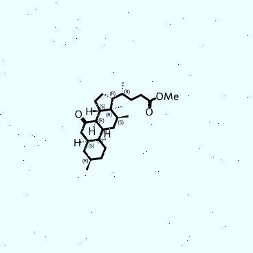 COC(=O)CC[C@@H](C)[C@H]1CC[C@H]2[C@@H]3C(=O)C[C@@H]4C[C@H](C)CC[C@]4(C)[C@H]3C[C@H](C)[C@]12C